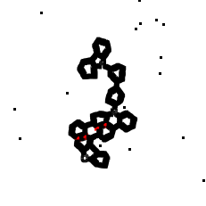 c1ccc(-c2ccc(N(c3ccc(-c4cccc(-n5c6ccccc6c6ccccc65)c4)cc3)c3ccccc3-c3ccc(-c4cccc5oc6ccccc6c45)cc3)cc2)cc1